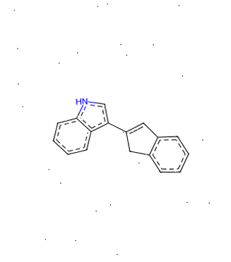 C1=C(c2c[nH]c3ccccc23)Cc2ccccc21